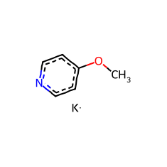 COc1ccncc1.[K]